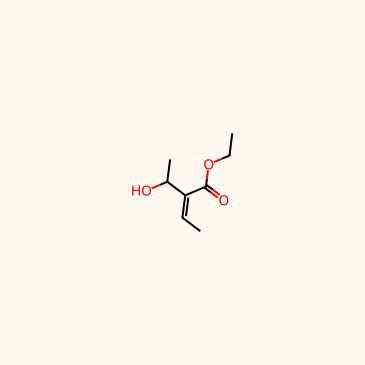 CC=C(C(=O)OCC)C(C)O